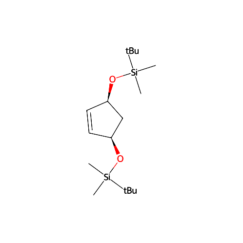 CC(C)(C)[Si](C)(C)O[C@@H]1C=C[C@H](O[Si](C)(C)C(C)(C)C)C1